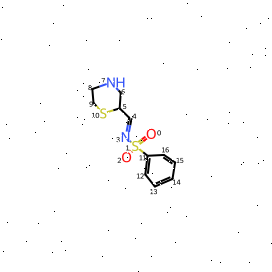 O=S(=O)(N=CC1CNCCS1)c1ccccc1